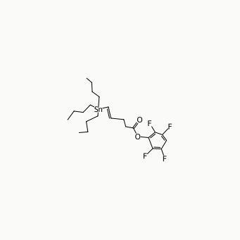 CCC[CH2][Sn](/[CH]=C/CCC(=O)Oc1c(F)c(F)cc(F)c1F)([CH2]CCC)[CH2]CCC